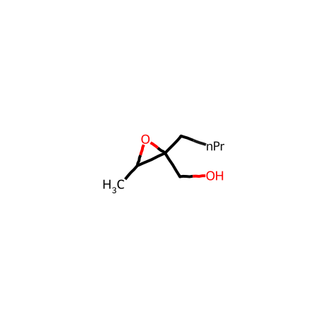 CCCCC1(CO)OC1C